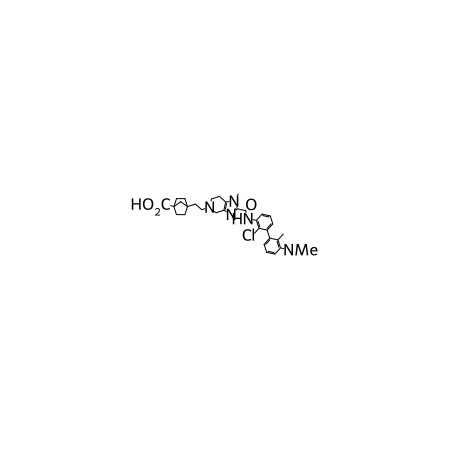 CNc1cccc(-c2cccc(NC(=O)c3nc4c(n3C)CCN(CCC35CCC(C(=O)O)(CC3)C5)C4)c2Cl)c1C